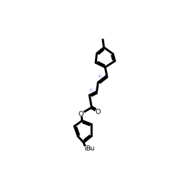 CCC(C)c1ccc(OC(=O)/C=C/C=C/c2ccc(C)cc2)cc1